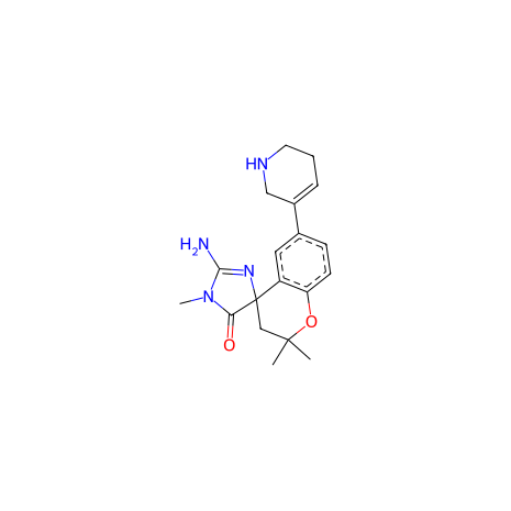 CN1C(=O)C2(CC(C)(C)Oc3ccc(C4=CCCNC4)cc32)N=C1N